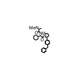 CN[C@@H](C)C(=O)N[C@H](C(=O)N1CCCC1c1ccc(Cc2ccccc2)cc1)C1CCCCC1